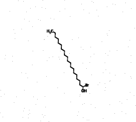 CCCCCCCCCCCCCCCCCCCC(O)Br